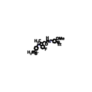 CCOc1ccc(/C=N/NC(=O)CC2=C(C)/C(=C/c3ccc([S+](C)[O-])cc3)c3ccc(F)cc32)cc1OC